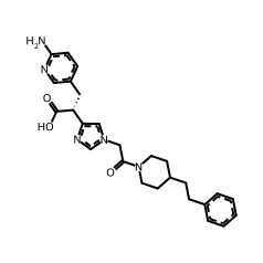 Nc1ccc(C[C@@H](C(=O)O)c2cn(CC(=O)N3CCC(CCc4ccccc4)CC3)cn2)cn1